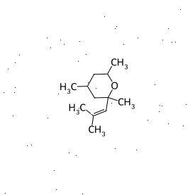 CC(C)=CC1(C)CC(C)CC(C)O1